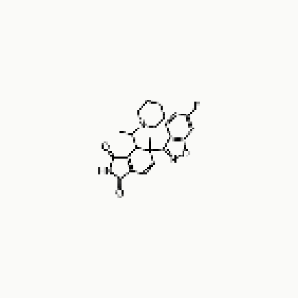 CC(C1C2=C(C=CC1(C)c1noc3cc(F)ccc13)C(=O)NC2=O)N1CCCCC1